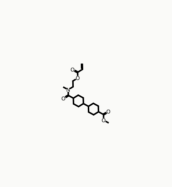 C=CC(=O)OCCN(C)C(=O)C1CCC(C2CCC(C(=O)OC)CC2)CC1